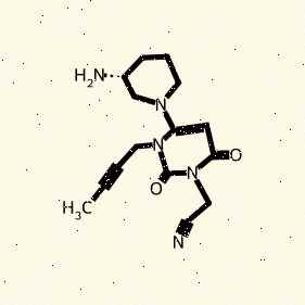 CC#CCn1c(N2CCC[C@@H](N)C2)cc(=O)n(CC#N)c1=O